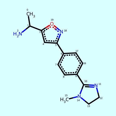 CC(N)c1cc(-c2ccc(C3=NCCN3C)cc2)no1